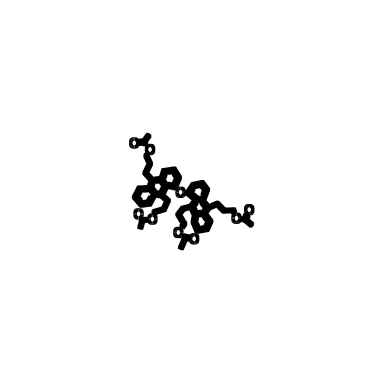 CC(=O)OCCCc1c2ccccc2c(CCCOC(C)=O)c2c(Oc3cccc4c(CCCOC(C)=O)c5ccccc5c(CCCOC(C)=O)c34)cccc12